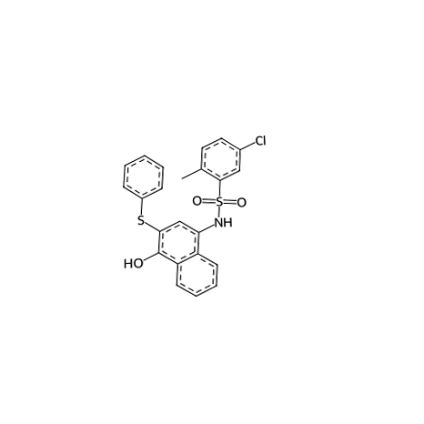 Cc1ccc(Cl)cc1S(=O)(=O)Nc1cc(Sc2ccccc2)c(O)c2ccccc12